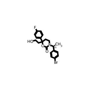 C[C@@H](c1ccc(Br)cc1)N1CCC(CCO)(c2ccc(F)cc2)OC1=O